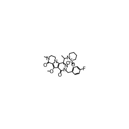 COc1c2n(c3c(C(C)N4CCCCS4(=O)=O)nn(Cc4ccc(F)cc4)c(=O)c13)CCN(C)C2=O